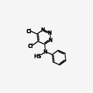 SN(c1ccccc1)c1nnnc(Cl)c1Cl